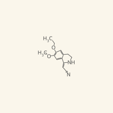 CCOc1cc2c(cc1OC)/C(=C/C#N)NCC2